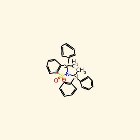 C[Si](c1ccccc1)(c1ccccc1)N([Si](C)(c1ccccc1)c1ccccc1)S(=O)(=O)F